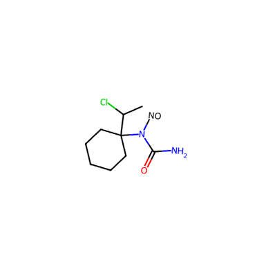 CC(Cl)C1(N(N=O)C(N)=O)CCCCC1